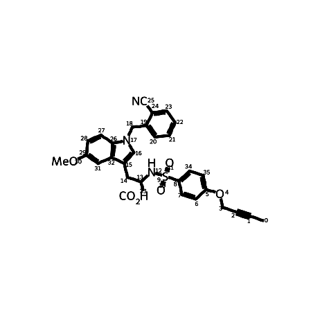 CC#CCOc1ccc(S(=O)(=O)NC(Cc2cn(Cc3ccccc3C#N)c3ccc(OC)cc23)C(=O)O)cc1